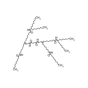 CCCCCCCCCC(=O)NCCCCCCCN(CCCCCCCC(=O)NC(CCCCCCCC)CCCCCCCC)CCNC(=O)CCC(=O)NCCN(CCCCCCCNC(=O)CCCCCCCCC)CCCCCCCC(=O)NC(CCCCCCCC)CCCCCCCC